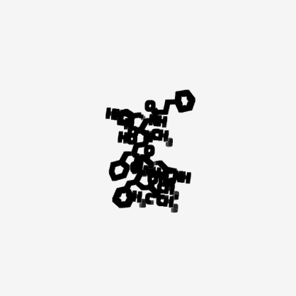 CN(C[C@H](O)[C@H](CC1CCCCC1)NC(=O)[C@H](Cc1c[nH]cn1)NC(=O)[C@@H](CC(=O)C(C)(C)C)Cc1ccccc1)C(=O)[C@H](Cc1c[nH]cn1)NC(=O)CCc1ccccc1